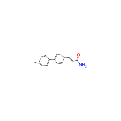 Cc1ccc(-c2ccc(C=CC(N)=O)cc2)cc1